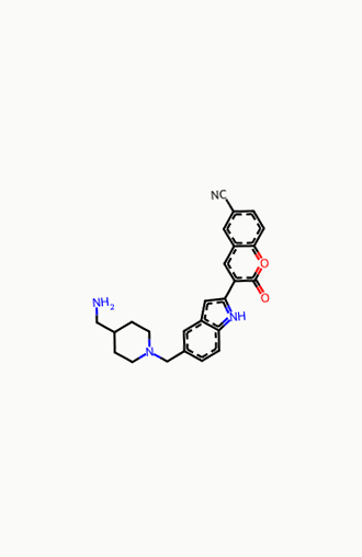 N#Cc1ccc2oc(=O)c(-c3cc4cc(CN5CCC(CN)CC5)ccc4[nH]3)cc2c1